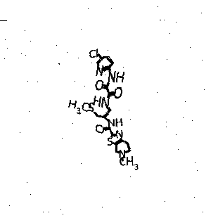 CSCC(CNC(=O)C(=O)Nc1ccc(Cl)cn1)NC(=O)c1nc2c(s1)CN(C)CC2